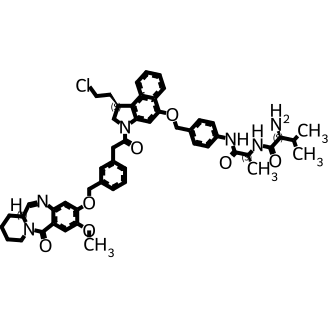 COc1cc2c(cc1OCc1cccc(CC(=O)N3C[C@@H](CCCl)c4c3cc(OCc3ccc(NC(=O)[C@H](C)NC(=O)[C@@H](N)C(C)C)cc3)c3ccccc43)c1)N=C[C@@H]1CCCCN1C2=O